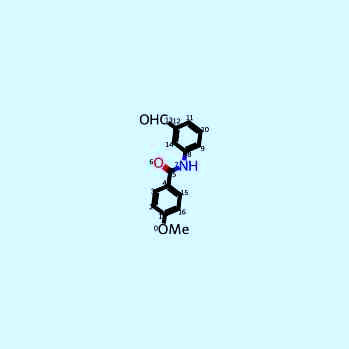 COc1ccc(C(=O)Nc2cccc(C=O)c2)cc1